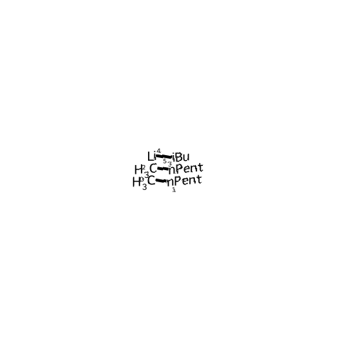 CCCCCC.CCCCCC.[Li][CH](C)CC